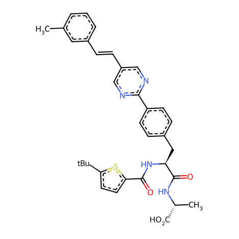 Cc1cccc(/C=C/c2cnc(-c3ccc(C[C@H](NC(=O)c4ccc(C(C)(C)C)s4)C(=O)N[C@H](C)C(=O)O)cc3)nc2)c1